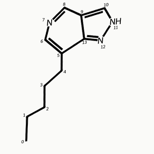 CCCCCc1cncc2c[nH]nc12